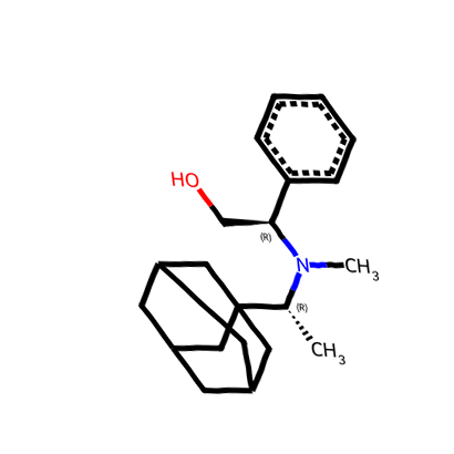 C[C@@H](N(C)[C@@H](CO)c1ccccc1)C12CC3CC(CC(C3)C1)C2